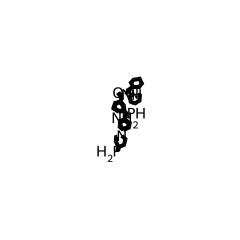 Nc1ccc(C(=O)NCC2(N3CCCCC3)CCCCC2)cc1C(=P)c1ccc(N2CCC(P)CC2)cc1